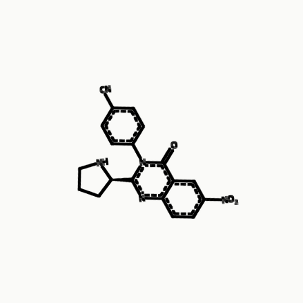 N#Cc1ccc(-n2c([C@H]3CCCN3)nc3ccc([N+](=O)[O-])cc3c2=O)cc1